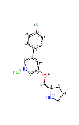 Cl.Clc1ccc(-c2cncc(OC[C@H]3CCCN3)c2)cc1